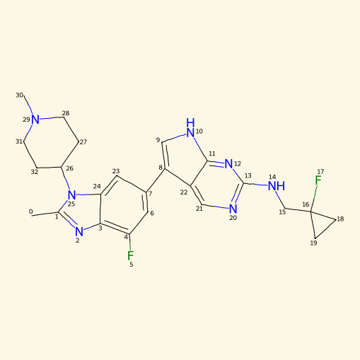 Cc1nc2c(F)cc(-c3c[nH]c4nc(NCC5(F)CC5)ncc34)cc2n1C1CCN(C)CC1